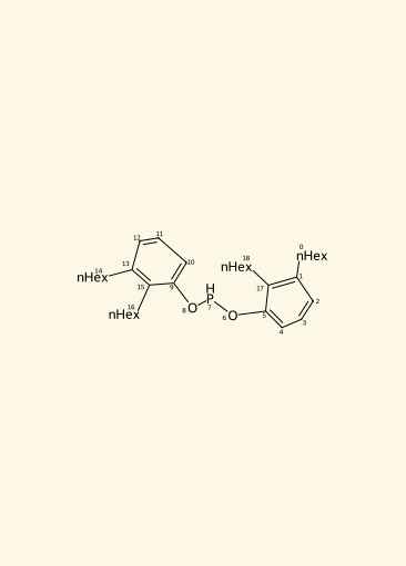 CCCCCCc1cccc(OPOc2cccc(CCCCCC)c2CCCCCC)c1CCCCCC